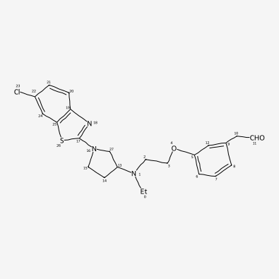 CCN(CCOc1cccc(CC=O)c1)C1CCN(c2nc3ccc(Cl)cc3s2)C1